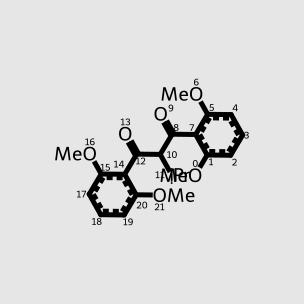 COc1cccc(OC)c1C(=O)C([C](C)C)C(=O)c1c(OC)cccc1OC